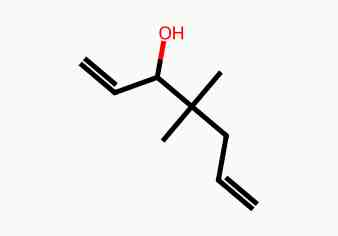 C=CCC(C)(C)C(O)C=C